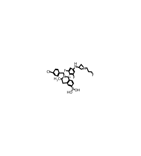 C[C@@H]1Cc2cc(B(O)O)ccc2[C@@H](c2c(F)cc(NC3CN(CCCF)C3)cc2F)N1Cc1ccc(Cl)cc1